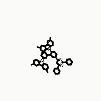 Cc1ccc2c(c1)c1cc(C)ccc1n2-c1cccc(-c2cc(-c3cc(-c4ccccc4)nc(-c4ccccc4)n3)ccc2-n2c3ccc(C)cc3c3cc(C)ccc32)c1